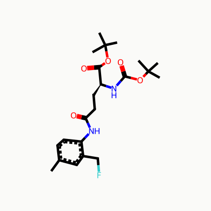 Cc1ccc(NC(=O)CC[C@H](NC(=O)OC(C)(C)C)C(=O)OC(C)(C)C)c(CF)c1